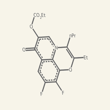 CCCC1=C(CC)Oc2c(F)c(F)cc3c(=O)c(OC(=O)OCC)cn1c23